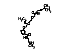 CNCCNC(=O)c1cccc(OCC(OCCOCC(=O)NCC#CC(C)C)SSC)c1